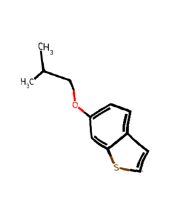 CC(C)COc1ccc2c[c]sc2c1